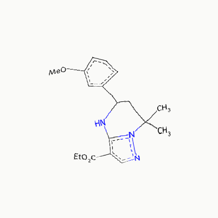 CCOC(=O)c1cnn2c1NC(c1cccc(OC)c1)CC2(C)C